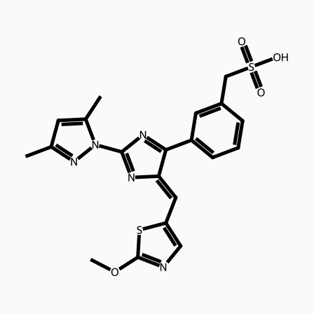 COc1ncc(C=C2N=C(n3nc(C)cc3C)N=C2c2cccc(CS(=O)(=O)O)c2)s1